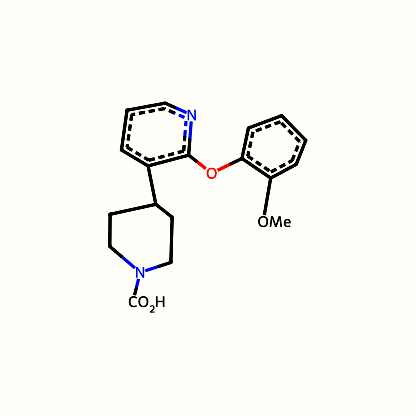 COc1ccccc1Oc1ncccc1C1CCN(C(=O)O)CC1